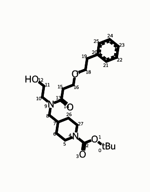 CC(C)(C)OC(=O)N1CCC(CN(CCO)C(=O)CCOCCc2ccccc2)CC1